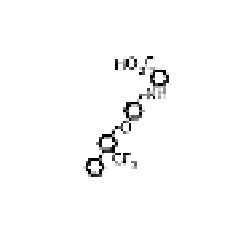 O=C(O)c1cccc(NCc2ccc(OCc3ccc(-c4ccccc4)c(C(F)(F)F)c3)cc2)c1